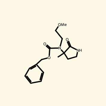 COCCN(C(=O)OCc1ccccc1)C1(C)CCNC1=O